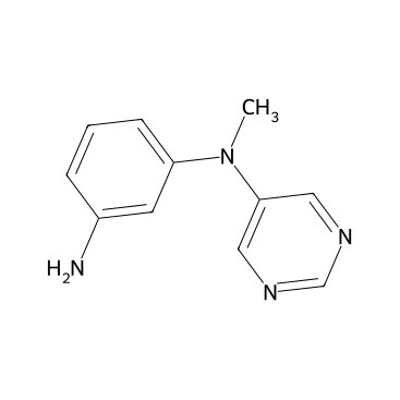 CN(c1cncnc1)c1cccc(N)c1